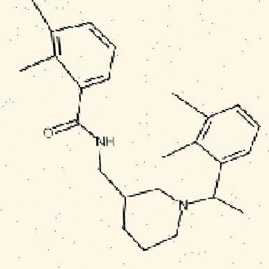 Cc1cccc(C(=O)NCC2CCCN(C(C)c3cccc(C)c3C)C2)c1C